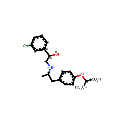 CC(Cc1ccc(OC(C(=O)O)C(=O)O)cc1)NCC(O)c1cccc(Cl)c1